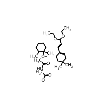 CC(=O)O.CC(=O)O.CC1CCCCC1(C)O.CCOC(C=CC1=CCC(C)(C)CC1)OCC